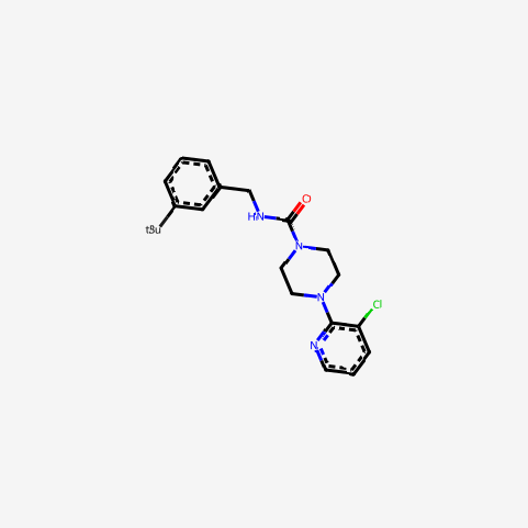 CC(C)(C)c1cccc(CNC(=O)N2CCN(c3ncccc3Cl)CC2)c1